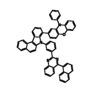 c1ccc(N2c3ccccc3Oc3ccc(-c4cccc5c6c7ccccc7ccc6n(-c6cccc(-c7nc(-c8cccc9ccccc89)c8ccccc8n7)c6)c45)cc32)cc1